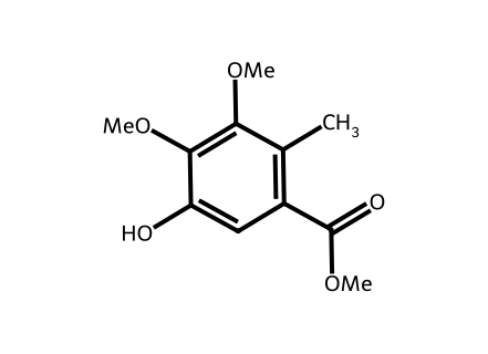 COC(=O)c1cc(O)c(OC)c(OC)c1C